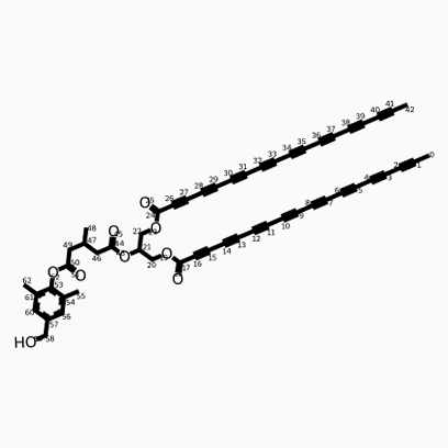 CC#CC#CC#CC#CC#CC#CC#CC#CC(=O)OCC(COC(=O)C#CC#CC#CC#CC#CC#CC#CC#CC)OC(=O)CC(C)CC(=O)Oc1c(C)cc(CO)cc1C